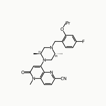 CC(C)Oc1cc(F)ccc1CN1C[C@H](C)N(c2cc(=O)n(C)c3ccc(C#N)nc23)C[C@H]1C